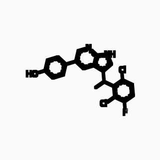 CC(c1c(Cl)ccc(F)c1Cl)c1c[nH]c2ncc(-c3ccc(O)cc3)cc12